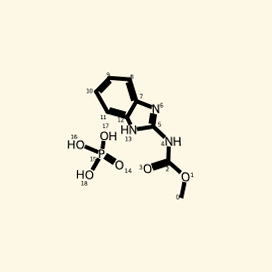 COC(=O)Nc1nc2ccccc2[nH]1.O=P(O)(O)O